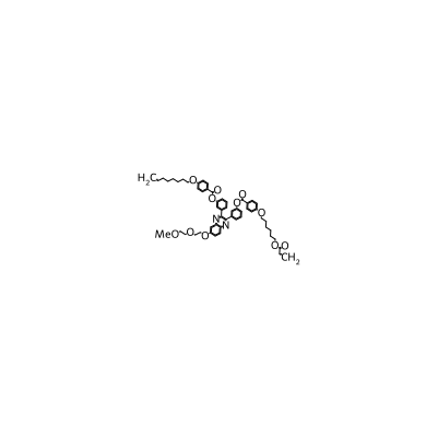 C=CCCCCCCOc1ccc(C(=O)Oc2cccc(-c3nc4cc(OCCOCCOC)ccc4nc3-c3cccc(OC(=O)c4ccc(OCCCCCCOC(=O)C=C)cc4)c3)c2)cc1